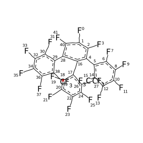 Fc1c(F)c(-c2c(F)c(F)c(F)c(F)c2C(F)(F)F)c(-c2c(F)c(F)c(F)c(F)c2C(F)(F)F)c(-c2c(F)c(F)c(F)c(F)c2C(F)(F)F)c1F